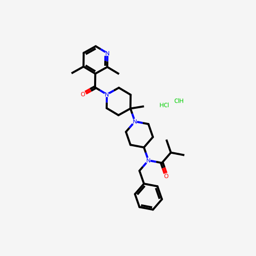 Cc1ccnc(C)c1C(=O)N1CCC(C)(N2CCC(N(Cc3ccccc3)C(=O)C(C)C)CC2)CC1.Cl.Cl